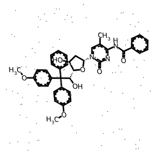 COc1ccc(C(c2ccccc2)(c2ccc(OC)cc2)C(O)[C@H]2O[C@@H](n3cc(C)c(NC(=O)c4ccccc4)nc3=O)C[C@@H]2O)cc1